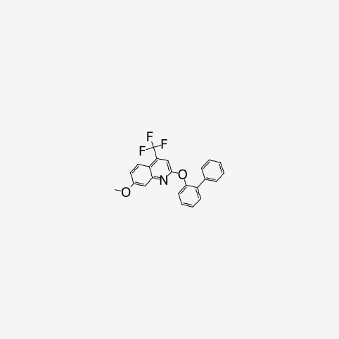 COc1ccc2c(C(F)(F)F)cc(Oc3ccccc3-c3ccccc3)nc2c1